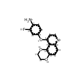 Nc1ccc(Oc2ccnc3ccc4c(c23)OCCO4)cc1F